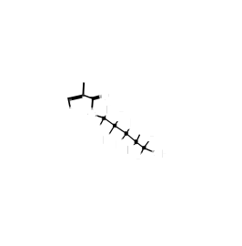 CCC=C(C)C(=O)OC(F)(F)C(F)(F)C(F)(F)C(F)(F)C(F)(F)C(F)(F)F